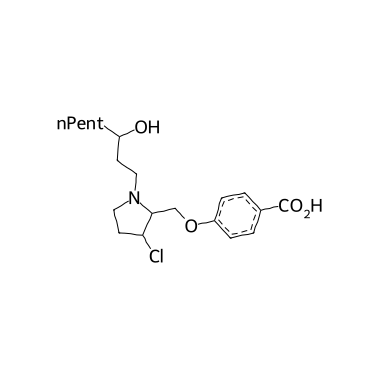 CCCCCC(O)CCN1CCC(Cl)C1COc1ccc(C(=O)O)cc1